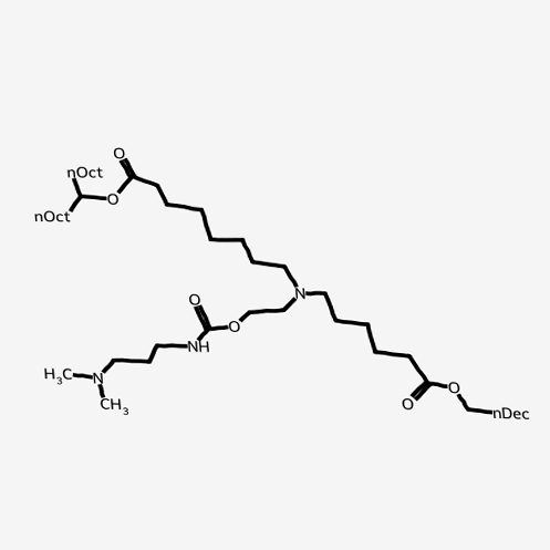 CCCCCCCCCCCOC(=O)CCCCCN(CCCCCCCC(=O)OC(CCCCCCCC)CCCCCCCC)CCOC(=O)NCCCN(C)C